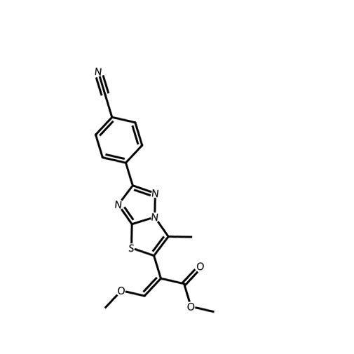 CO/C=C(/C(=O)OC)c1sc2nc(-c3ccc(C#N)cc3)nn2c1C